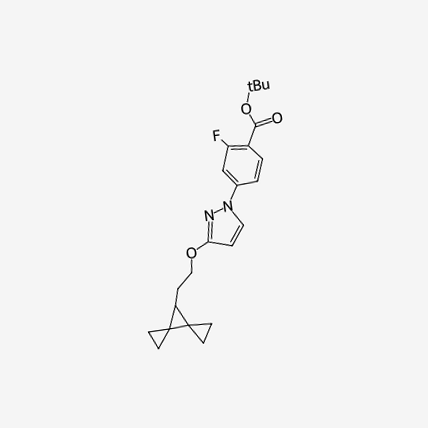 CC(C)(C)OC(=O)c1ccc(-n2ccc(OCCC3C4(CC4)C34CC4)n2)cc1F